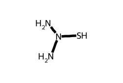 NN(N)S